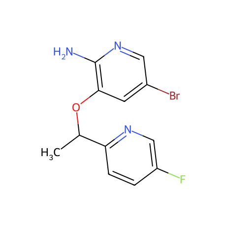 CC(Oc1cc(Br)cnc1N)c1ccc(F)cn1